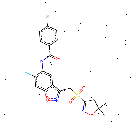 CC1(C)CC(S(=O)(=O)Cc2noc3cc(F)c(NC(=O)c4ccc(Br)cc4)cc23)=NO1